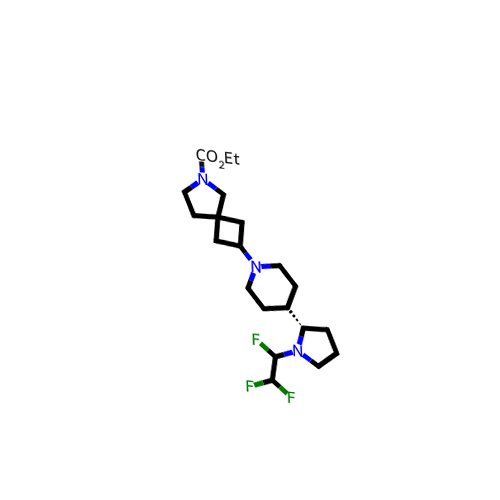 CCOC(=O)N1CCC2(CC(N3CCC([C@@H]4CCCN4C(F)C(F)F)CC3)C2)C1